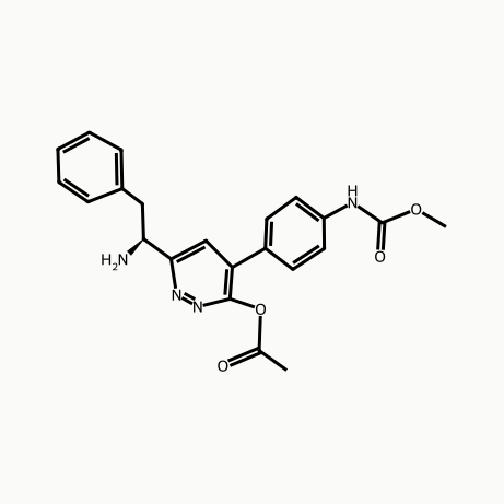 COC(=O)Nc1ccc(-c2cc([C@@H](N)Cc3ccccc3)nnc2OC(C)=O)cc1